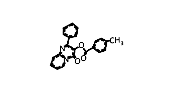 Cc1ccc(C(=O)Oc2c(-c3ccccc3)nc3ccccn3c2=O)cc1